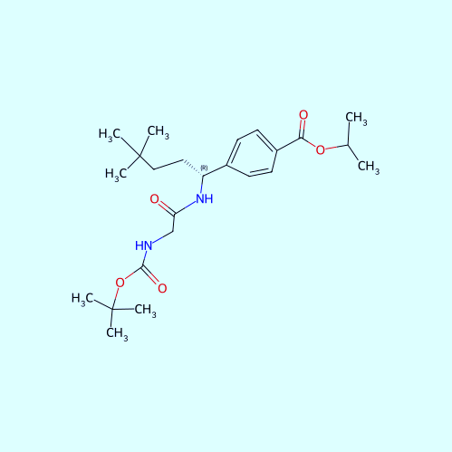 CC(C)OC(=O)c1ccc([C@@H](CCC(C)(C)C)NC(=O)CNC(=O)OC(C)(C)C)cc1